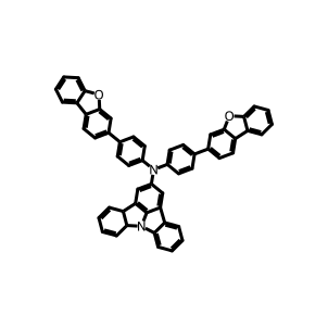 C1=CC2c3cc(N(c4ccc(-c5ccc6c(c5)oc5ccccc56)cc4)c4ccc(-c5ccc6c(c5)oc5ccccc56)cc4)cc4c5ccccc5n(c34)C2C=C1